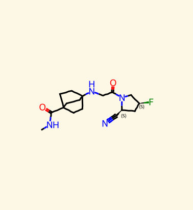 CNC(=O)C12CCC(NCC(=O)N3C[C@@H](F)C[C@H]3C#N)(CC1)CC2